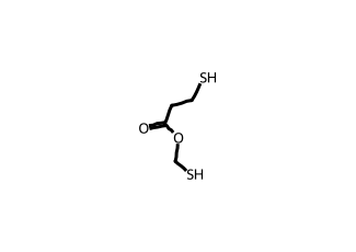 O=C(CCS)OCS